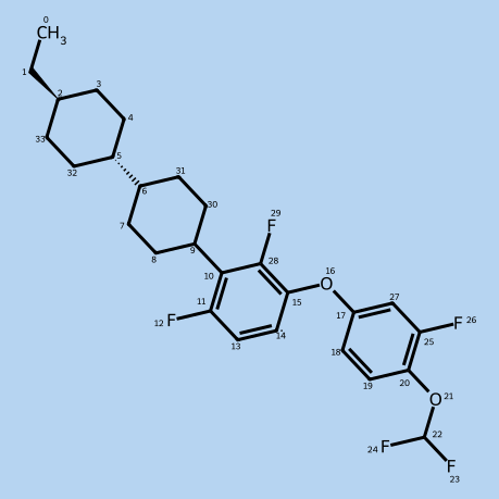 CC[C@H]1CC[C@H](C2CCC(c3c(F)c[c]c(Oc4ccc(OC(F)F)c(F)c4)c3F)CC2)CC1